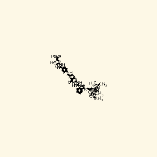 CCOP(=O)(OCC)OCC(COC(=O)c1ccccc1NC(=O)Nc1nc2ncc(CNc3ccc(C(=O)N[C@@H](CCC(=O)O)C(=O)O)cc3)nc2c(=O)[nH]1)OP(=O)(OCC)OCC